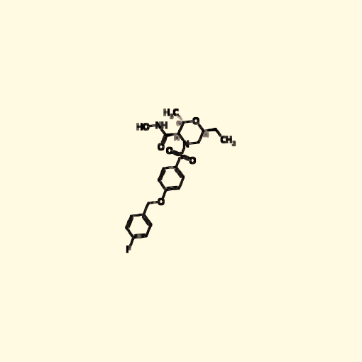 CC[C@H]1CN(S(=O)(=O)c2ccc(OCc3ccc(F)cc3)cc2)[C@@H](C(=O)NO)[C@H](C)O1